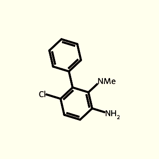 CNc1c(N)ccc(Cl)c1-c1ccccc1